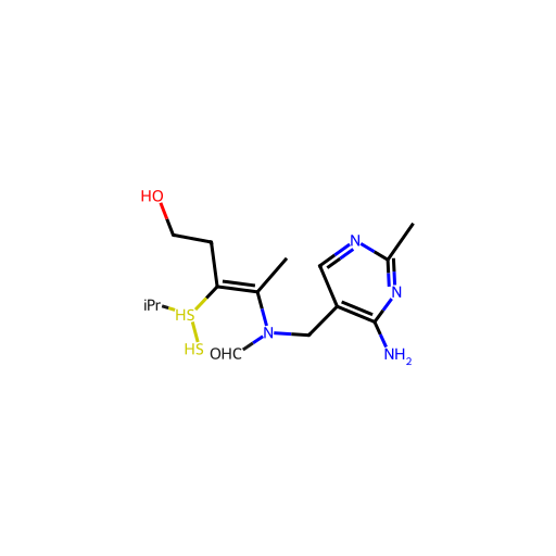 C/C(=C(\CCO)[SH](S)C(C)C)N(C=O)Cc1cnc(C)nc1N